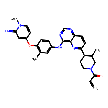 C=CC(=O)N1CCC(c2ccc3ncnc(Nc4ccc(Oc5ccn(NC)c(=N)c5)c(C)c4)c3n2)C(C)C1